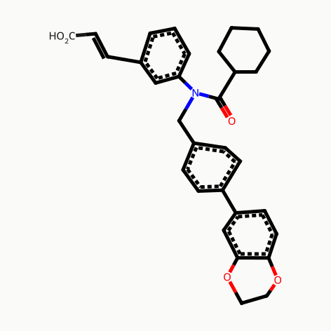 O=C(O)/C=C/c1cccc(N(Cc2ccc(-c3ccc4c(c3)OCCO4)cc2)C(=O)C2CCCCC2)c1